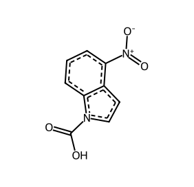 O=C(O)n1ccc2c([N+](=O)[O-])cccc21